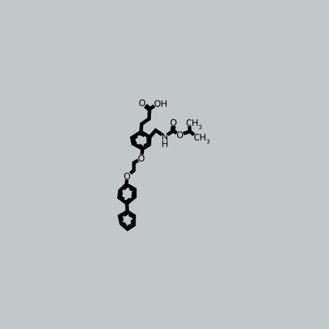 CC(C)OC(=O)NCc1cc(OCCOc2ccc(-c3ccccc3)cc2)ccc1CCC(=O)O